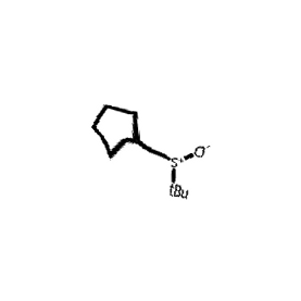 CC(C)(C)[S+]([O-])C1CCCC1